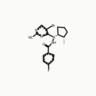 C[C@H]1CCC[C@H]1N(NC(=O)c1ccc(F)cc1)c1nc(C#N)ncc1Br